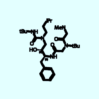 CNCC(=O)N(CC(=O)N[C@@H](Cc1ccccc1)[C@H](O)CN(CCC(C)C)C(=O)NC(C)(C)C)C(C)(C)C